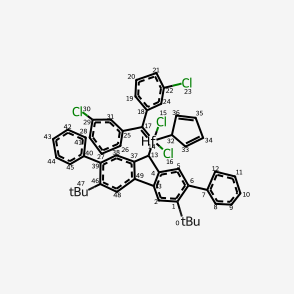 CC(C)(C)c1cc2c(cc1-c1ccccc1)[CH]([Hf]([Cl])([Cl])(=[C](c1cccc(Cl)c1)c1cccc(Cl)c1)[CH]1C=CC=C1)c1cc(-c3ccccc3)c(C(C)(C)C)cc1-2